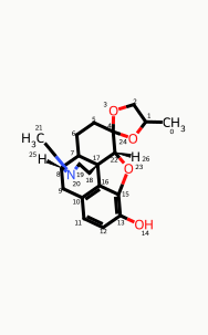 CC1COC2(CCC3[C@H]4Cc5ccc(O)c6c5[C@@]3(CCN4C)[C@H]2O6)O1